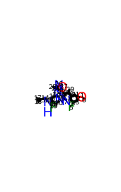 COc1cc(F)c2nc(N3CC[C@H](NCC4CC4)[C@H](F)C3)c(-c3nc(C)no3)c(C)c2c1